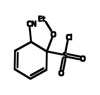 CCOC1(S(=O)(=O)Cl)C=CC=CC1C#N